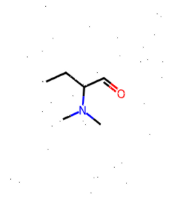 [CH2]CC(C=O)N(C)C